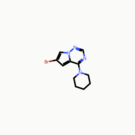 Brc1cc2c(N3CCCCC3)ncnn2c1